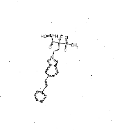 C[C@@](CCn1cc2cc(/C=C/c3ccccc3)ccc2n1)(C(=O)NO)S(C)(=O)=O